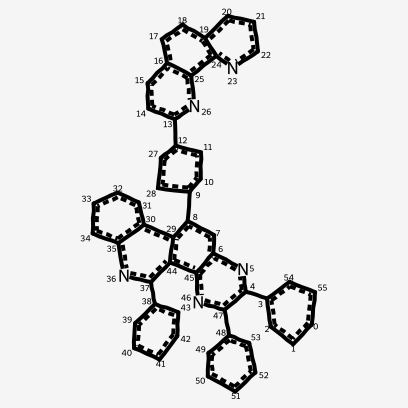 c1ccc(-c2nc3cc(-c4ccc(-c5ccc6ccc7cccnc7c6n5)cc4)c4c5ccccc5nc(-c5ccccc5)c4c3nc2-c2ccccc2)cc1